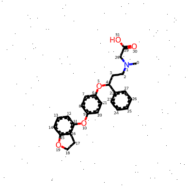 CN(CCC(Oc1ccc(Oc2cccc3c2CCO3)cc1)c1ccccc1)CC(=O)O